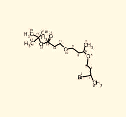 CC(Br)CCOC(C)CCOCCC(=O)OC(C)(C)C